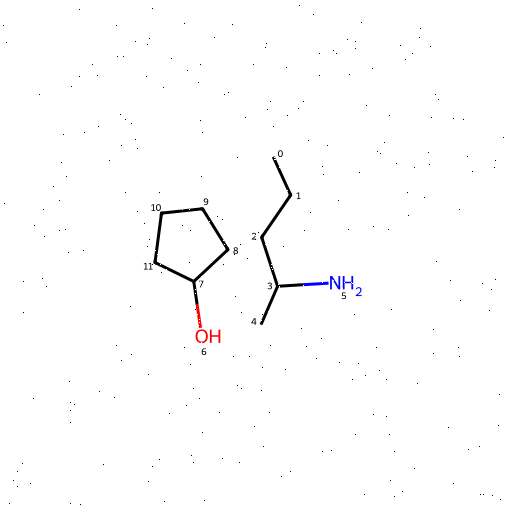 CCCC(C)N.OC1CCCC1